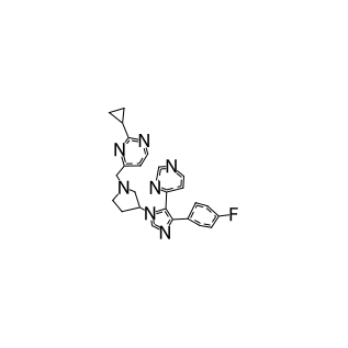 Fc1ccc(-c2ncn(C3CCN(Cc4ccnc(C5CC5)n4)C3)c2-c2ccncn2)cc1